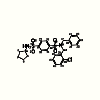 O=S(=O)(NC1CCCC1)c1ccc(S(=O)(=O)N(Cc2ccccc2)Cc2ccccc2Cl)cc1